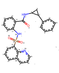 O=C(NC1CC1c1ccccc1)c1ccccc1NS(=O)(=O)c1cccc2cccnc12